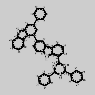 c1ccc(-c2cc(-c3ccc4oc5c(-c6nc(-c7ccccc7)nc(-c7ccccc7)n6)cccc5c4c3)c3c(c2)oc2ccccc23)cc1